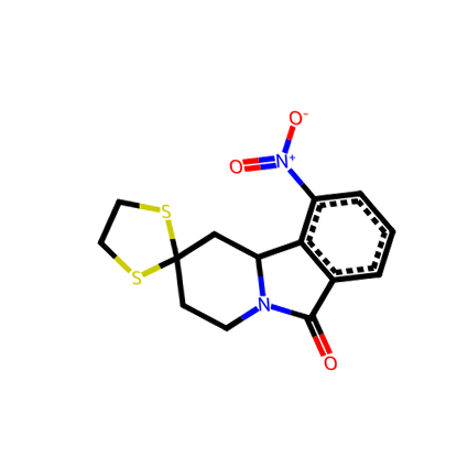 O=C1c2cccc([N+](=O)[O-])c2C2CC3(CCN12)SCCS3